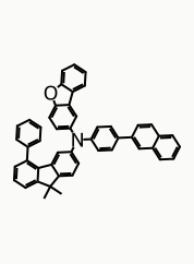 CC1(C)c2ccc(N(c3ccc(-c4ccc5ccccc5c4)cc3)c3ccc4oc5ccccc5c4c3)cc2-c2c(-c3ccccc3)cccc21